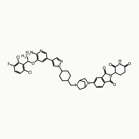 C[C@@H](Oc1cc(-c2cnn(C3CCC(CN4CC5CC4CN5c4ccc5c(c4)C(=O)N(C4CCC(=O)NC4=O)C5=O)CC3)c2)cnc1N)c1c(Cl)ccc(F)c1Cl